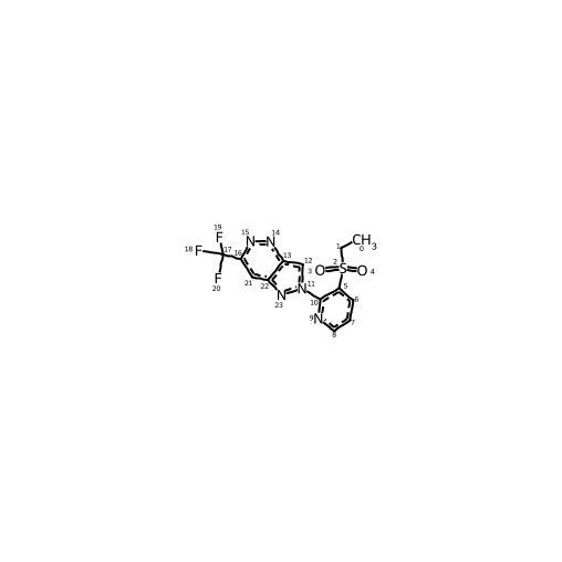 CCS(=O)(=O)c1cccnc1-n1cc2nnc(C(F)(F)F)cc2n1